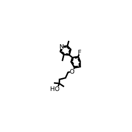 Cc1cc(-c2cc(OCCCC(C)(C)O)ccc2F)c(C)cn1